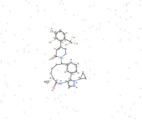 C[C@@H]1CCCC(N2CCC(c3c(C(F)(F)F)ccc(Cl)c3F)=CC2=O)c2cc(ccn2)-c2c(cnn2C2CC2)NC1=O